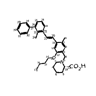 Cc1cc(CN2CCCC[C@H]2C(=O)O)c(OCCCI)cc1/C=C/c1cccc(-c2ccccc2)c1C